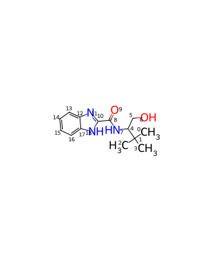 CC(C)(C)C(CO)NC(=O)c1nc2ccccc2[nH]1